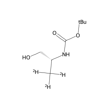 [2H]C([2H])([2H])[C@H](CO)NC(=O)OC(C)(C)C